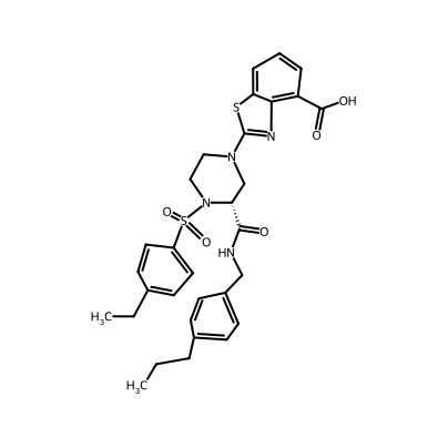 CCCc1ccc(CNC(=O)[C@H]2CN(c3nc4c(C(=O)O)cccc4s3)CCN2S(=O)(=O)c2ccc(CC)cc2)cc1